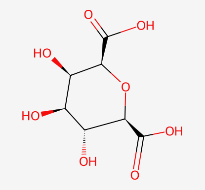 O=C(O)[C@H]1O[C@@H](C(=O)O)[C@H](O)[C@@H](O)[C@H]1O